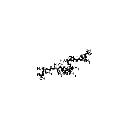 CC(CC[Si](C)(C)O[Si](C)(C)O[Si](C)(C)CCC(C)C(=O)NCCCC[N+](C)(C)CCC(=O)O)C(=O)NCCCC[N+](C)(C)CCC(=O)O